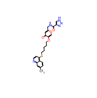 CN(Cc1cc(=O)c(OCCCCCSc2ccnc3cc(C(F)(F)F)ccc23)co1)C(=O)c1c[nH]nn1